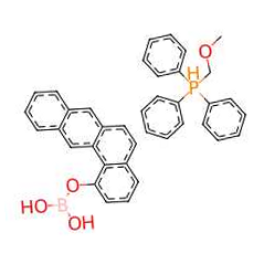 COC[PH](c1ccccc1)(c1ccccc1)c1ccccc1.OB(O)Oc1cccc2ccc3cc4ccccc4cc3c12